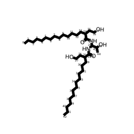 CCCCCCCCCCCCCCC(CCO)C(=O)NC(NC(=O)C(CCO)CCCCCCCCCCCCCC)C(C)O